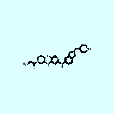 C=CC(=O)N1CCC[C@@H](Nc2nc(Nc3ccc4c(c3)CN(CC3CCNCC3)C4)ncc2F)C1